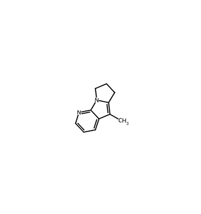 Cc1c2n(c3ncccc13)CCC2